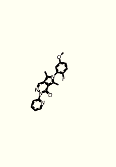 COc1ccc(F)c(-n2c(C)c3cnn(-c4ccccn4)c(=O)c3c2C)c1